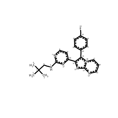 CC(C)(C)CNc1nccc(-c2nc3ncccn3c2-c2ccc(F)cc2)n1